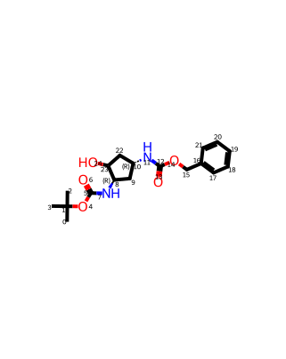 CC(C)(C)OC(=O)N[C@@H]1C[C@@H](NC(=O)OCc2ccccc2)CC1O